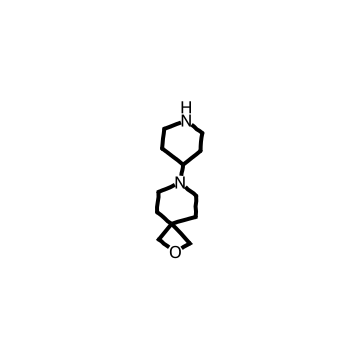 C1CC(N2CCC3(CC2)COC3)CCN1